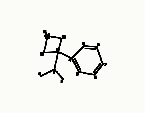 CC(C)C1(c2ccccc2)C[N]C1